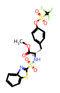 COC(=O)[C@H](Cc1ccc(OS(=O)(=O)C(F)(F)F)cc1)NS(=O)(=O)c1nc2ccccc2s1